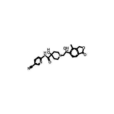 Cc1c([C@@H](O)CN2CCC(O)(C(=O)Nc3ccc(C#N)cn3)CC2)ccc2c1COC2=O